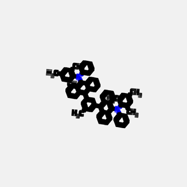 Cc1cc(-c2c3ccccc3c(N(c3ccccc3)c3c(C)cc(C)cc3C)c3ccccc23)cc(-c2c3ccccc3c(N(c3ccccc3)c3c(C)cc(C)cc3C)c3ccccc23)c1